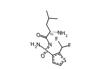 CC(C)C[C@H](N)C(=O)N=S(N)(=O)c1ccsc1C(F)F